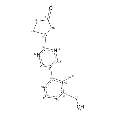 O=C1CCN(c2ncc(-c3cccc(CO)c3F)cn2)C1